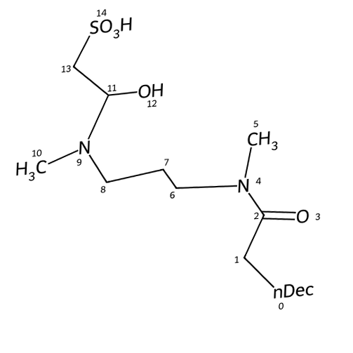 CCCCCCCCCCCC(=O)N(C)CCCN(C)C(O)CS(=O)(=O)O